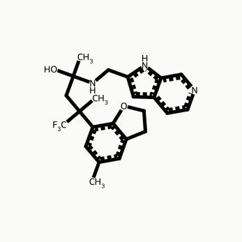 Cc1cc2c(c(C(C)(CC(C)(O)NCc3cc4ccncc4[nH]3)C(F)(F)F)c1)OCC2